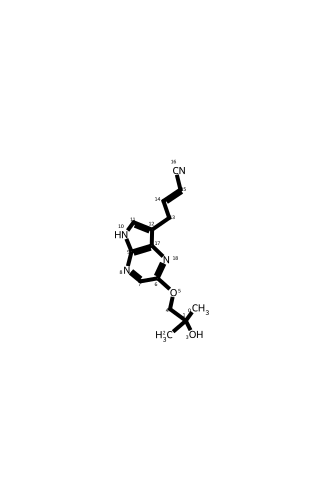 CC(C)(O)COc1cnc2[nH]cc(CC=CC#N)c2n1